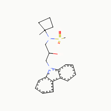 CC1(N(CC(O)Cn2c3ccccc3c3ccccc32)S(C)(=O)=O)CCC1